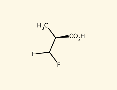 C[C@@H](C(=O)O)C(F)F